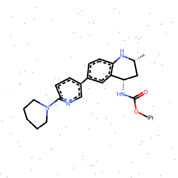 CC(C)OC(=O)N[C@H]1C[C@@H](C)Nc2ccc(-c3ccc(N4CCCCC4)nc3)cc21